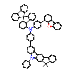 CC1(C)c2ccccc2-c2cc3c4cc(-c5ccc(N(c6ccc(-c7cccc8c7oc7ccccc78)cc6)c6cccc7c6-c6ccccc6C76c7ccccc7-c7ccccc76)cc5)ccc4n(-c4ccccc4)c3cc21